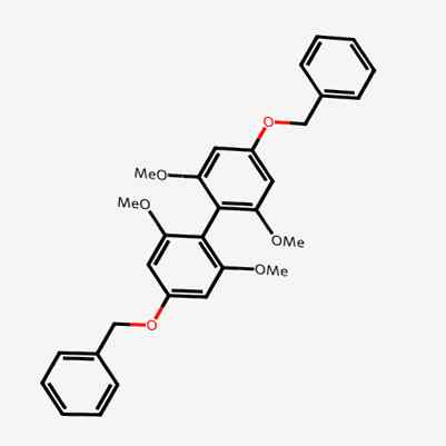 COc1cc(OCc2ccccc2)cc(OC)c1-c1c(OC)cc(OCc2ccccc2)cc1OC